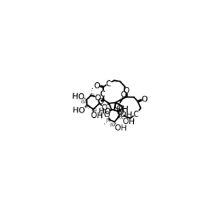 C[C@@H]1OC(OC2(C3O[C@@H](C)[C@@H](O)[C@@H](O)[C@@H]3O)C(=O)CC(=O)CCCCOC3(OOCCCCC(=O)CC3=O)C2(CO)CO)[C@@H](O)[C@H](O)[C@@H]1O